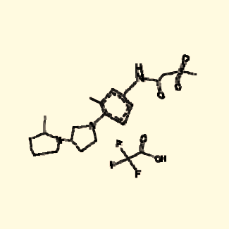 Cc1cc(NC(=O)CS(C)(=O)=O)ccc1N1CCC(N2CCCC2C)C1.O=C(O)C(F)(F)F